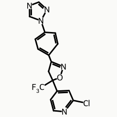 FC(F)(F)C1(c2ccnc(Cl)c2)CC(c2ccc(-n3cncn3)cc2)=NO1